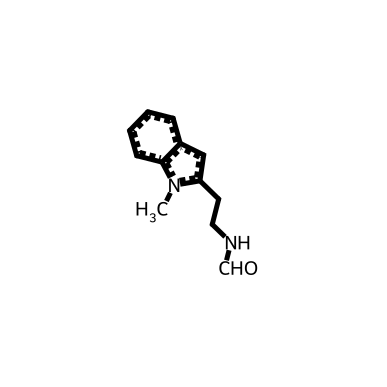 Cn1c(CCNC=O)cc2ccccc21